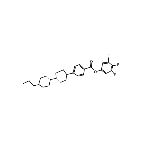 CCC[C@H]1CC[C@H]([C@H]2CC[C@H](c3ccc(C(=O)Oc4cc(F)c(F)c(F)c4)cc3)CC2)CC1